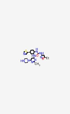 CCc1cc(NC(=O)Nc2ccc(-c3cncs3)cc2Nc2cc(N3CCNCC3)nc(C)n2)no1